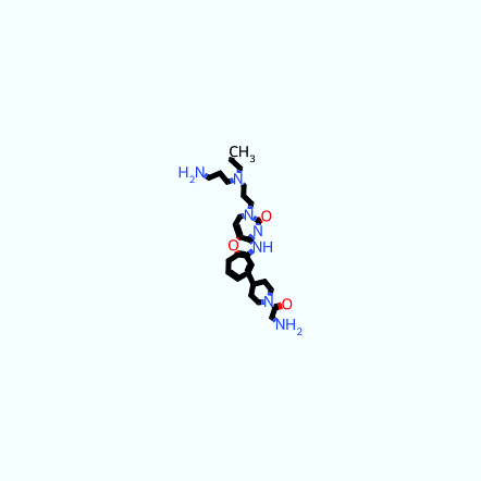 CCCN(CCCN)CCCN1CC=C2OC3=C(C=C(C4CCN(C(=O)CN)CC4)C=CC3)NC2=NC1=O